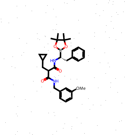 COc1cccc(CNC(=O)C(CC2CC2)C(=O)N[C@@H](Cc2ccccc2)B2OC(C)(C)C(C)(C)O2)c1